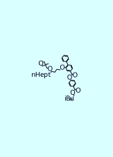 CCCCCCCC(CCCOc1cc(C(=O)Oc2ccc(C(=O)OC[C@H](C)CC)cc2)ccc1-c1ccccc1)OCC1(C)COC1